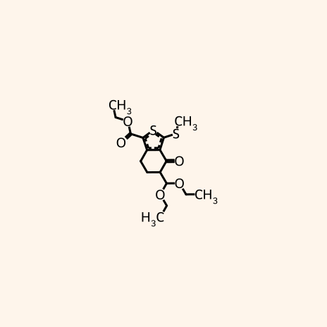 CCOC(=O)c1sc(SC)c2c1CCC(C(OCC)OCC)C2=O